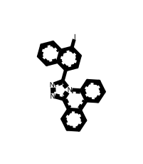 Ic1ccc(-c2nnc3c4ccccc4c4ccccc4n23)c2ccccc12